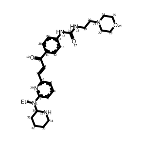 CCN(c1cccc(C=CC(=O)c2ccc(NC(=O)NCCN3CCOCC3)cc2)n1)C1CCCCN1